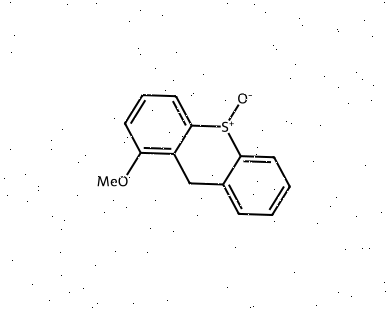 COc1cccc2c1Cc1ccccc1[S+]2[O-]